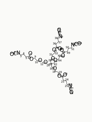 O=C=NCCCC(=O)OCCOCOCC(COCCOC(=O)CCCN=C=O)(COCCOC(=O)CCCN=C=O)COCCOC(=O)CCCN=C=O